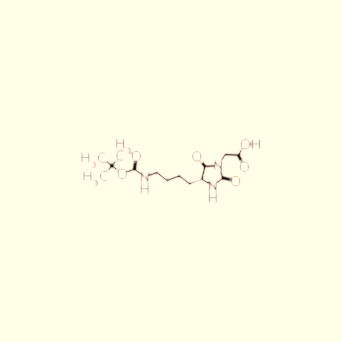 CC(C)(C)OC(=O)NCCCC[C@@H]1NC(=O)N(CC(=O)O)C1=O